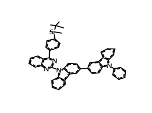 CC(C)(C)[Si](C)(C)c1ccc(-c2nc(-n3c4ccccc4c4cc(-c5ccc6c(c5)c5ccccc5n6-c5ccccc5)ccc43)nc3ccccc23)cc1